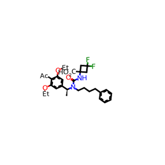 CCOc1cc([C@H](C)N(CCCCc2ccccc2)C(=O)NC2(C(=O)O)CC(F)(F)C2)cc(OCC)c1C(C)=O